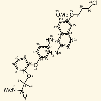 CNC(=O)C(C)(C)Oc1ccccc1Oc1ccc(Nc2c(N)cnc3cc(OCCCCl)c(OC)cc23)cc1